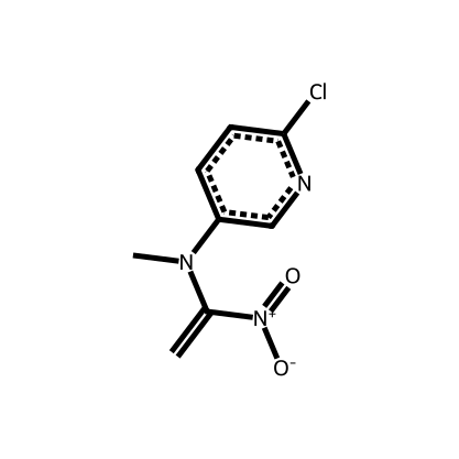 C=C(N(C)c1ccc(Cl)nc1)[N+](=O)[O-]